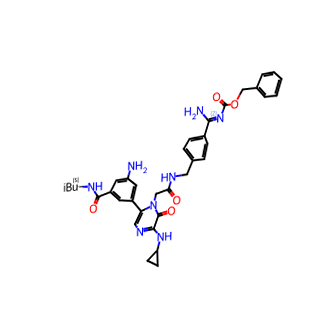 CC[C@H](C)NC(=O)c1cc(N)cc(-c2cnc(NC3CC3)c(=O)n2CC(=O)NCc2ccc(/C(N)=N/C(=O)OCc3ccccc3)cc2)c1